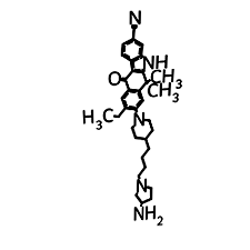 CCc1cc2c(cc1N1CCC(CCCCN3CC[C@@H](N)C3)CC1)C(C)(C)c1[nH]c3cc(C#N)ccc3c1C2=O